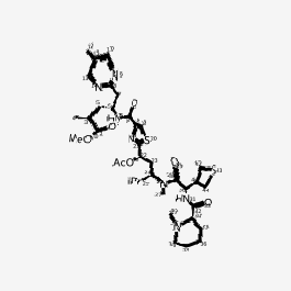 COC(=O)[C@@H](C)C[C@H](Cc1ncc(C)cn1)NC(=O)c1csc([C@@H](C[C@H](C(C)C)N(C)C(=O)[C@@H](NC(=O)[C@H]2CCCCN2C)C2CSC2)OC(C)=O)n1